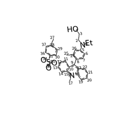 CCN(CCO)c1ccc(-c2c3ccccc3[n+](C)c3ccccc23)c(C)c1.Cc1ccc(S(=O)(=O)[O-])cc1